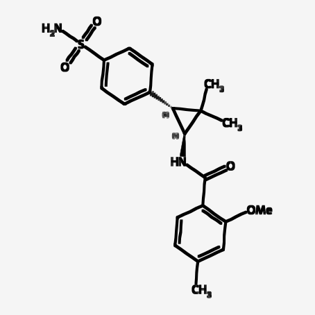 COc1cc(C)ccc1C(=O)N[C@H]1[C@H](c2ccc(S(N)(=O)=O)cc2)C1(C)C